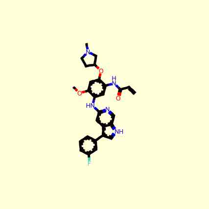 C=CC(=O)Nc1cc(Nc2cc3c(-c4cccc(F)c4)c[nH]c3cn2)c(OC)cc1OC1CCN(C)C1